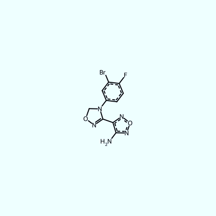 Nc1nonc1C1=NOCN1c1ccc(F)c(Br)c1